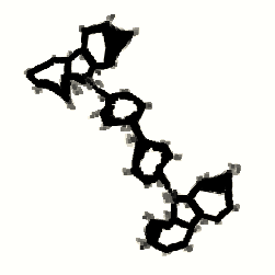 C1=CC2C3=C(C=CCC3)N(c3ccc(-c4ccc(N5C6=C(CCC=C6)C6C=CC=CC65)cc4)cc3)C2C=C1